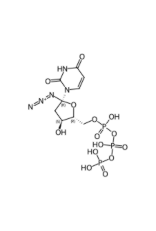 [N-]=[N+]=N[C@]1(n2ccc(=O)[nH]c2=O)C[C@H](O)[C@@H](COP(=O)(O)OP(=O)(O)OP(=O)(O)O)O1